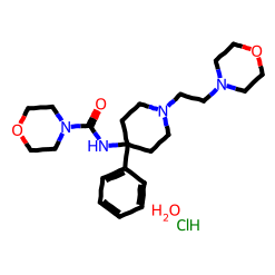 Cl.O.O=C(NC1(c2ccccc2)CCN(CCN2CCOCC2)CC1)N1CCOCC1